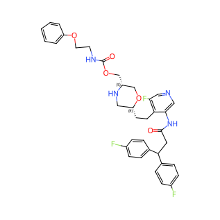 O=C(CC(c1ccc(F)cc1)c1ccc(F)cc1)Nc1cncc(F)c1CC[C@@H]1CN[C@H](COC(=O)NCCOc2ccccc2)CO1